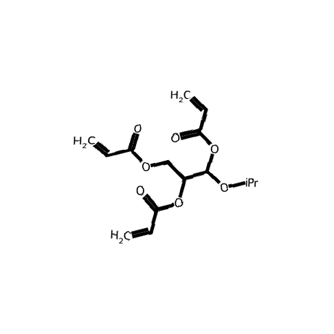 C=CC(=O)OCC(OC(=O)C=C)C(OC(=O)C=C)OC(C)C